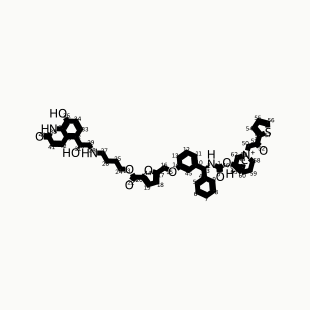 O=C(N[C@@H](c1ccccc1)c1cccc(OCc2ccc(C(=O)OCCCCNC[C@H](O)c3ccc(O)c4[nH]c(=O)ccc34)o2)c1)O[C@H]1C[N+]2(CC(=O)c3cccs3)CCC1CC2